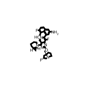 C#Cc1c(F)ccc2cc(N)cc(-c3ncc4c(N5CCCC[C@H]6C[C@H]65)nc(OC[C@@]56CCCN5C[C@H](F)C6)nc4c3F)c12